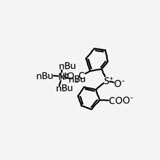 CCCC[N+](CCCC)(CCCC)CCCC.O=C([O-])c1ccccc1[S+]([O-])c1ccccc1C(=O)O